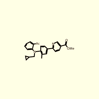 COC(=O)c1ccc(-c2ccc(N(CC3CC3)c3ccccc3C(C)=O)c(C)c2)nc1